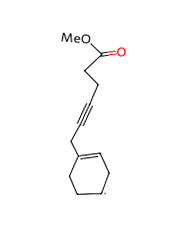 COC(=O)CCC#CCC1=CC[CH]CC1